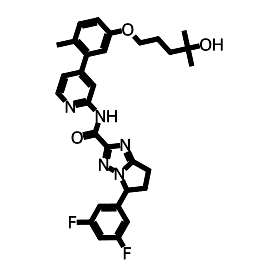 Cc1ccc(OCCCC(C)(C)O)cc1-c1ccnc(NC(=O)c2nc3n(n2)C(c2cc(F)cc(F)c2)CC3)c1